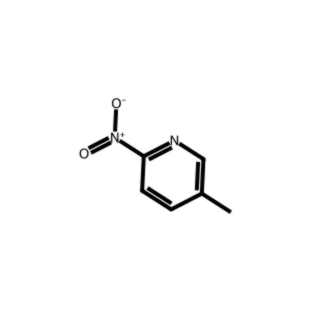 Cc1ccc([N+](=O)[O-])nc1